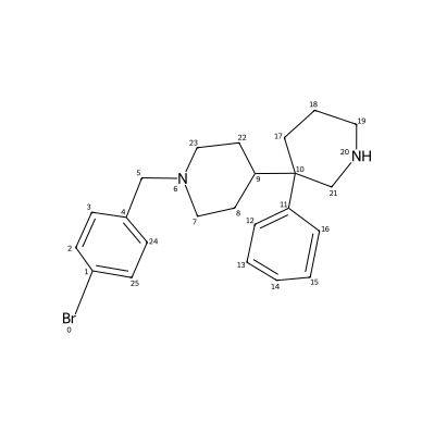 Brc1ccc(CN2CCC(C3(c4ccccc4)CCCNC3)CC2)cc1